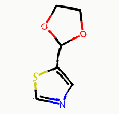 [c]1ncc(C2OCCO2)s1